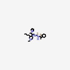 CCCCC1=C(/C(CNC(=S)Nc2sc3c(c2C)CCCC3)=C(\C)n2cccc2)CCN(CC)C1